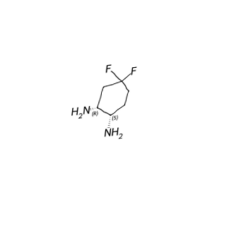 N[C@@H]1CC(F)(F)CC[C@@H]1N